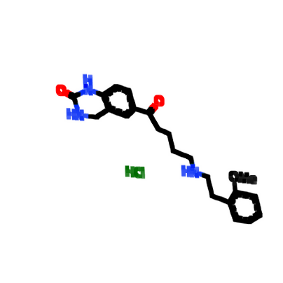 COc1ccccc1CCNCCCCC(=O)c1ccc2c(c1)CNC(=O)N2.Cl